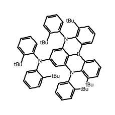 CC(C)(C)c1ccccc1N(c1cc2c3c(c1)N(c1ccccc1C(C)(C)C)c1c(cccc1C(C)(C)C)B3c1cccc(C(C)(C)C)c1N2c1ccccc1C(C)(C)C)c1ccccc1C(C)(C)C